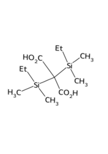 CC[Si](C)(C)C(C(=O)O)(C(=O)O)[Si](C)(C)CC